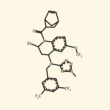 CCC1CC(N(Cc2cc(C(F)(F)F)cc(C(F)(F)F)c2)c2nnn(C)n2)c2cc(OC(F)(F)F)ccc2N1C(=O)C1CC2C=CC1C2